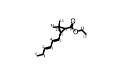 CCC=CC=CC1C(C(=O)OCC)C1(C)C